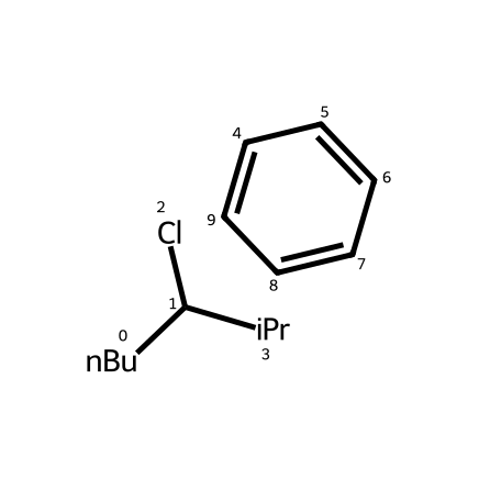 CCCCC(Cl)C(C)C.c1ccccc1